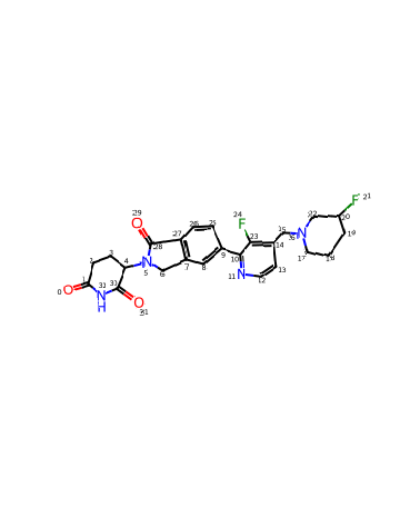 O=C1CCC(N2Cc3cc(-c4nccc(CN5CCCC(F)C5)c4F)ccc3C2=O)C(=O)N1